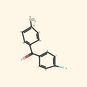 O=C(c1ccc(F)cc1)c1ccc(C(Cl)(Cl)Cl)cc1